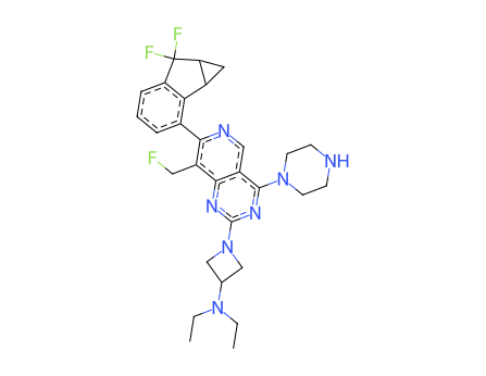 CCN(CC)C1CN(c2nc(N3CCNCC3)c3cnc(-c4cccc5c4C4CC4C5(F)F)c(CF)c3n2)C1